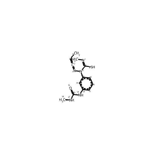 CC=C=NN(/C(S)=N\C)c1cccc(NC(=O)NC)c1